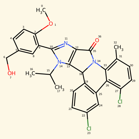 COc1ccc(CO)cc1-c1nc2c(n1C(C)C)C1c3ccc(Cl)cc3-c3c(Cl)ccc(C)c3N1C2=O